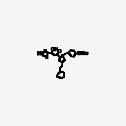 COc1ccc(Cn2cc(CCc3ccccc3)cc2C(=O)C=C(O)c2nc[nH]n2)cc1